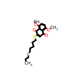 CCCCCCCCCSC1=CC(=O)c2c(OC)ccc(OC)c2C1=O